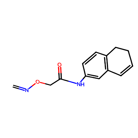 C=NOCC(=O)Nc1ccc2c(c1)C=CCC2